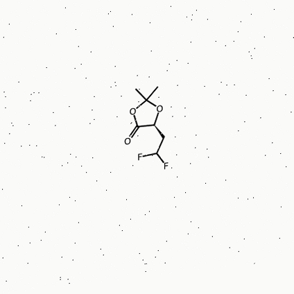 CC1(C)OC(=O)[C@H](CC(F)F)O1